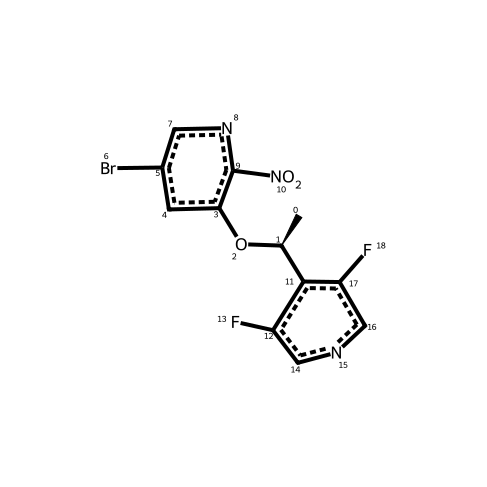 C[C@H](Oc1cc(Br)cnc1[N+](=O)[O-])c1c(F)cncc1F